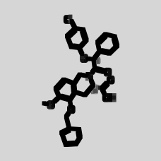 COc1ccc2c(c1OCc1ccccc1)C[C@@H](C(=O)O)N(C(=O)[C@@H](Oc1ccc(Cl)cc1)c1ccccc1)C2